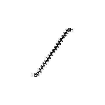 SCCCCCCCCCCCCCCCCCCCCCCCCCCCCCCCCS